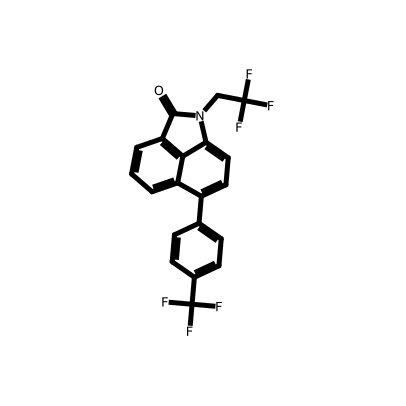 O=C1c2cccc3c(-c4ccc(C(F)(F)F)cc4)ccc(c23)N1CC(F)(F)F